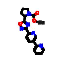 CC(C)(C)OC(=O)N1CCCC1c1nc(-c2ccc(-c3ccccn3)cn2)no1